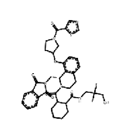 O=C(NCC(F)(F)CO)C1CCCCC1C(=O)N1CCc2cccc(OC3CCN(C(=O)c4cncs4)C3)c2[C@H]1CN1C(=O)c2ccccc2C1=O